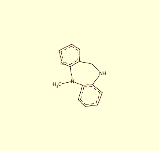 CN1c2ccccc2NCc2cccnc21